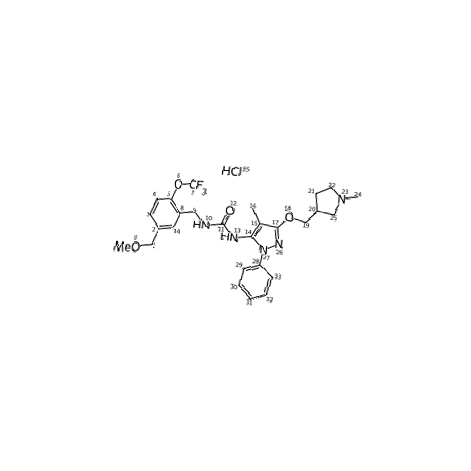 COCc1ccc(OC(F)(F)F)c(CNC(=O)Nc2c(C)c(OCC3CCN(C)C3)nn2-c2ccccc2)c1.Cl